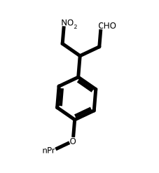 CCCOc1ccc(C(CC=O)C[N+](=O)[O-])cc1